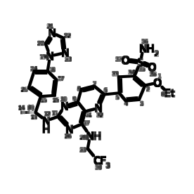 CCOc1ccc(-c2ccc3nc(N[C@H](C)c4ccc(-n5cncn5)cc4)nc(NCC(F)(F)F)c3n2)cc1S(N)(=O)=O